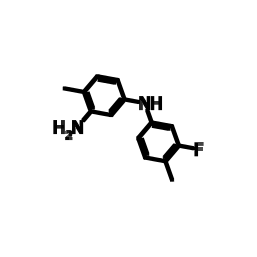 Cc1ccc(Nc2ccc(C)c(F)c2)cc1N